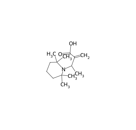 C=C(C(=O)O)C(C)N1C(C)(C)CCCC1(C)C